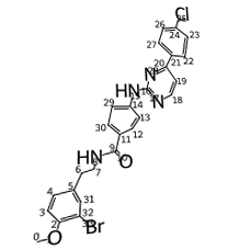 COc1ccc(CCNC(=O)c2ccc(Nc3nccc(-c4ccc(Cl)cc4)n3)cc2)cc1Br